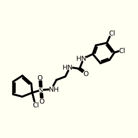 O=C(NCCNS(=O)(=O)C1(Cl)C=CC=CC1)Nc1ccc(Cl)c(Cl)c1